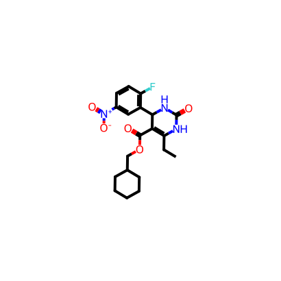 CCC1=C(C(=O)OCC2CCCCC2)C(c2cc([N+](=O)[O-])ccc2F)NC(=O)N1